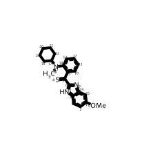 COc1ccc2[nH]c(C(=S)c3ccccc3N(C)C3CCCCC3)nc2c1